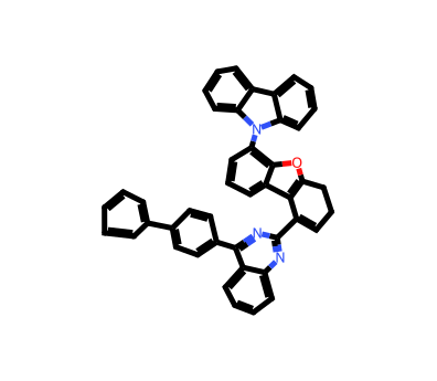 C1=C(c2nc(-c3ccc(-c4ccccc4)cc3)c3ccccc3n2)c2c(oc3c(-n4c5ccccc5c5ccccc54)cccc23)CC1